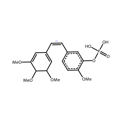 COC1=CC(/C=C\c2ccc(OC)c(OP(=O)(O)O)c2)=CC(OC)C1OC